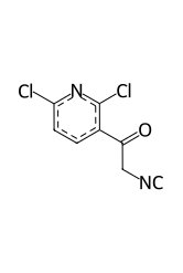 [C-]#[N+]CC(=O)c1ccc(Cl)nc1Cl